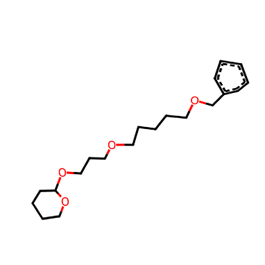 c1ccc(COCCCCCOCCCOC2CCCCO2)cc1